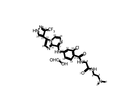 CN(C)CCNC(=O)CNC(=O)c1ccc(Nc2nccn3c(-c4c[nH]nc4C(F)(F)F)cnc23)cc1Cl.O=CO